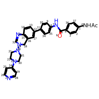 CC(=O)Nc1ccc(C(=O)Nc2ccc(-c3ccc4c(c3)CN(N3CCN(c5ccncc5)CC3)C=N4)cc2)cc1